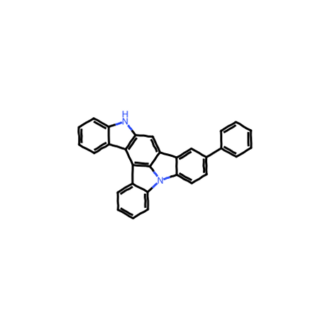 c1ccc(-c2ccc3c(c2)c2cc4[nH]c5ccccc5c4c4c5ccccc5n3c24)cc1